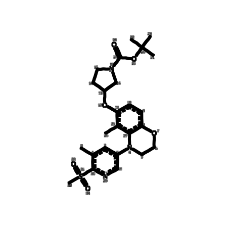 Cc1cc(N2CCOc3ccc(OC4CCN(C(=O)OC(C)(C)C)C4)c(C)c32)cnc1S(C)(=O)=O